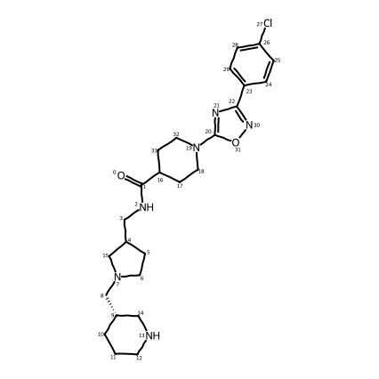 O=C(NCC1CCN(C[C@H]2CCCNC2)C1)C1CCN(c2nc(-c3ccc(Cl)cc3)no2)CC1